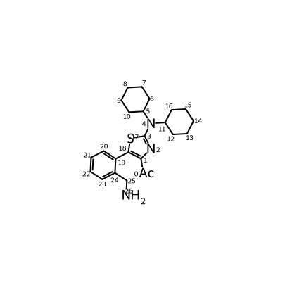 CC(=O)c1nc(N(C2CCCCC2)C2CCCCC2)sc1-c1ccccc1CN